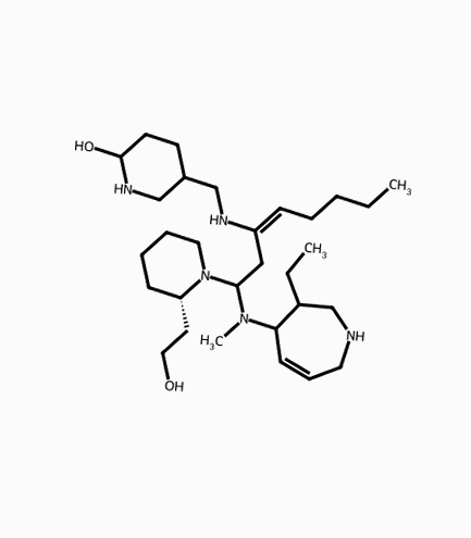 CCCC/C=C(\CC(N(C)C1C=CCNCC1CC)N1CCCC[C@H]1CCO)NCC1CCC(O)NC1